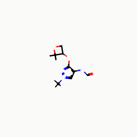 [2H]C([2H])([2H])n1cc(NC=O)c(OC2COC2(C)C)n1